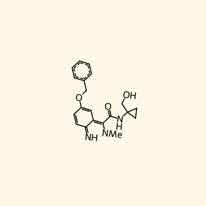 CN/C(C(=O)NC1(CO)CC1)=C1/C=C(OCc2ccccc2)C=CC1=N